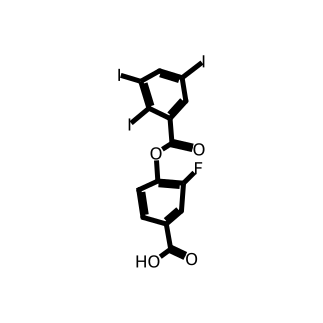 O=C(O)c1ccc(OC(=O)c2cc(I)cc(I)c2I)c(F)c1